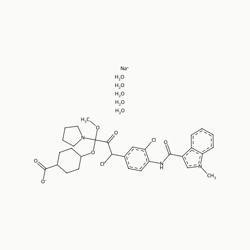 COC(OC1CCC(C(=O)[O-])CC1)(C(=O)C(Cl)c1ccc(NC(=O)c2cn(C)c3ccccc23)c(Cl)c1)N1CCCC1.O.O.O.O.O.[Na+]